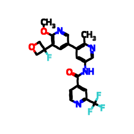 COc1ncc(-c2cc(NC(=O)c3ccnc(C(F)(F)F)c3)cnc2C)cc1C1(F)COC1